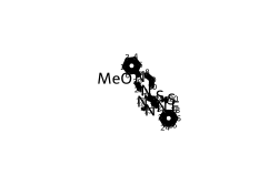 COc1ccccc1N1CCCN(c2ncnc3c2sc(=S)n3-c2ccccc2F)CC1